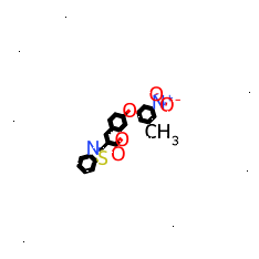 Cc1cc(Oc2ccc3cc(-c4nc5ccccc5s4)c(=O)oc3c2)cc([N+](=O)[O-])c1